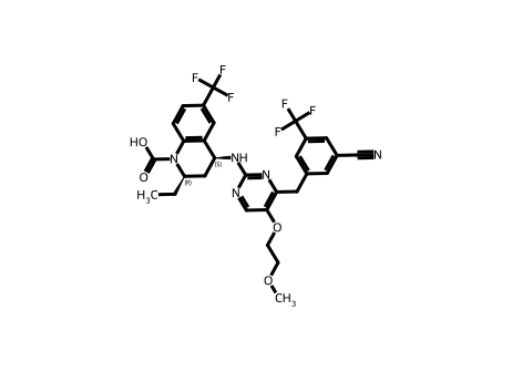 CC[C@@H]1C[C@H](Nc2ncc(OCCOC)c(Cc3cc(C#N)cc(C(F)(F)F)c3)n2)c2cc(C(F)(F)F)ccc2N1C(=O)O